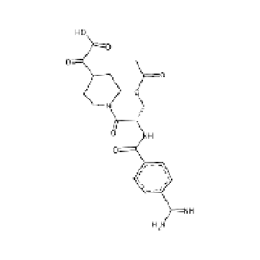 CC(=O)OC[C@H](NC(=O)c1ccc(C(=N)N)cc1)C(=O)N1CCC(C(=O)C(=O)O)CC1